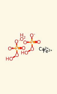 O.O=P([O-])([O-])OO.O=P([O-])([O-])OO.[Ca+2].[Fe+2]